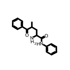 CC(CC(N)C(=O)Nc1ccccc1)C(=O)c1ccccc1